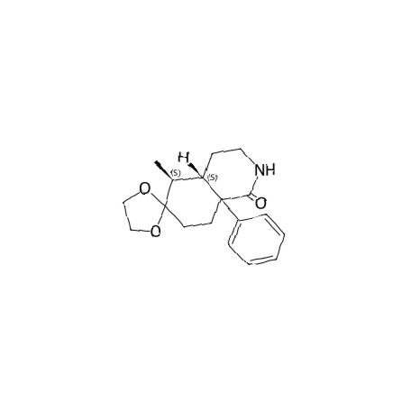 C[C@H]1[C@@H]2CCNC(=O)C2(c2ccccc2)CCC12OCCO2